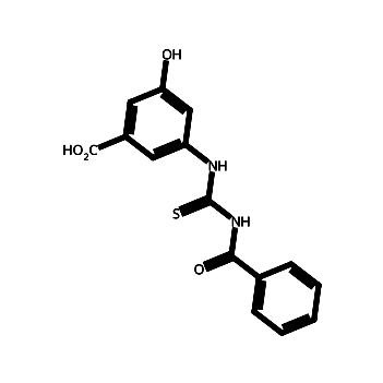 O=C(O)c1cc(O)cc(NC(=S)NC(=O)c2ccccc2)c1